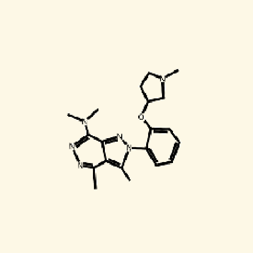 Cc1nnc(N(C)C)c2nn(-c3ccccc3OC3CCN(C)C3)c(C)c12